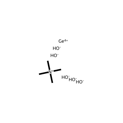 C[N+](C)(C)C.[Ge+4].[OH-].[OH-].[OH-].[OH-].[OH-]